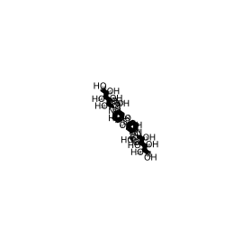 O=S(=O)(c1ccc(NC([C@H](O)[C@@H](O)[C@H](O)[C@H](O)CO)S(=O)(=O)O)cc1)c1ccc(NC([C@H](O)[C@@H](O)[C@H](O)[C@H](O)CO)S(=O)(=O)O)cc1